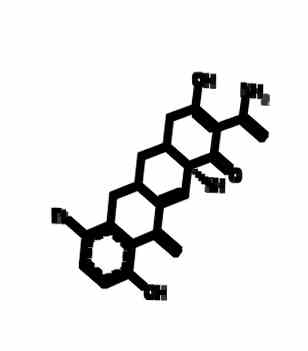 C=C(N)C1=C(O)CC2CC3Cc4c(CC)ccc(O)c4C(=C)C3=C[C@]2(S)C1=O